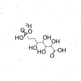 [2H]OP(=O)(O)CCC(O)C(O)C(O)C(O)C(=O)O